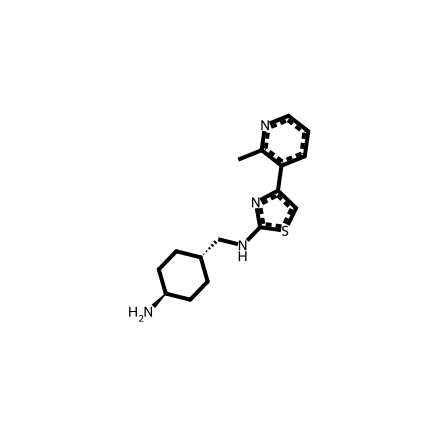 Cc1ncccc1-c1csc(NC[C@H]2CC[C@H](N)CC2)n1